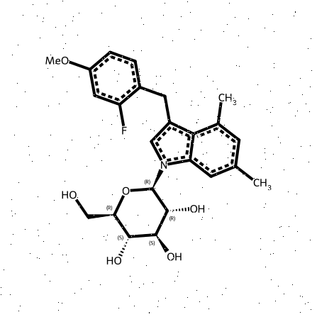 COc1ccc(Cc2cn([C@@H]3O[C@H](CO)[C@@H](O)[C@H](O)[C@H]3O)c3cc(C)cc(C)c23)c(F)c1